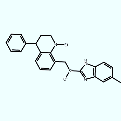 CCN1CCC(c2ccccc2)c2cccc(C[S+]([O-])c3nc4cc(C)ccc4[nH]3)c21